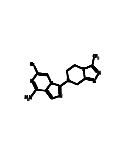 Nc1nc(Br)cn2c(N3CCn4c(nnc4C(F)(F)F)C3)ncc12